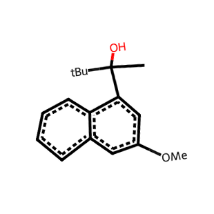 COc1cc(C(C)(O)C(C)(C)C)c2ccccc2c1